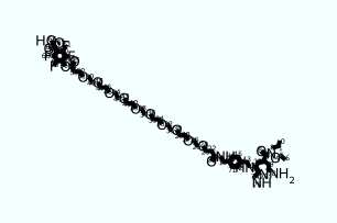 CCCN(OCC)C(=O)C1=CC(NCc2ccc(CNC(=O)CCOCCOCCOCCOCCOCCOCCOCCOCCOCCOCCC(=O)Oc3c(F)c(F)c(S(=O)(=O)O)c(F)c3F)cc2)=C(C=N)N=C(N)C1